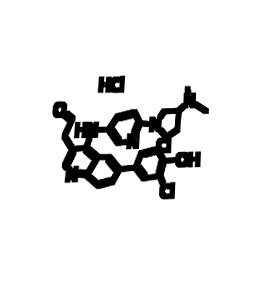 CN(C)C1CCN(c2ccc(Nc3c(CC=O)cnc4ccc(-c5cc(Cl)c(O)c(Cl)c5)cc34)cn2)C1.Cl